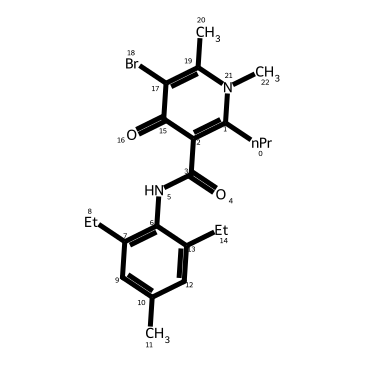 CCCc1c(C(=O)Nc2c(CC)cc(C)cc2CC)c(=O)c(Br)c(C)n1C